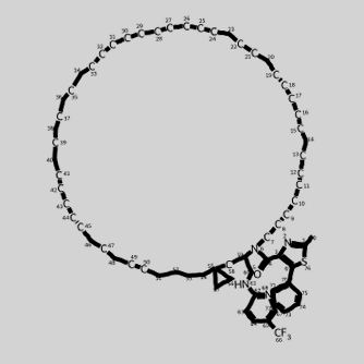 Cc1nc(C(=O)N2CCCCCCCCCCCCCCCCCCCCCCCCCCCCCCCCCCCCCCCCCCCCCCCCC3(CC3)CC2CNc2ccc(C(F)(F)F)cn2)c(-c2ccccc2)s1